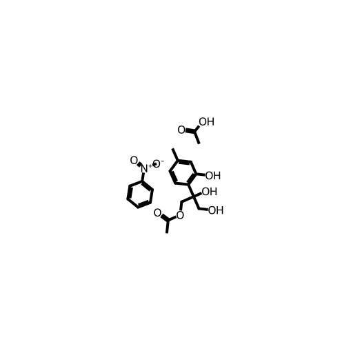 CC(=O)O.CC(=O)OCC(O)(CO)c1ccc(C)cc1O.O=[N+]([O-])c1ccccc1